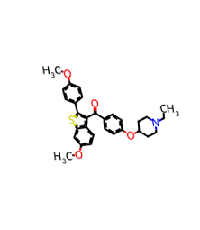 CCN1CCC(Oc2ccc(C(=O)c3c(-c4ccc(OC)cc4)sc4cc(OC)ccc34)cc2)CC1